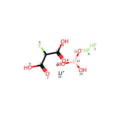 F.F.O=C(O)C(F)C(=O)O.[Li+].[O-]B(O)O